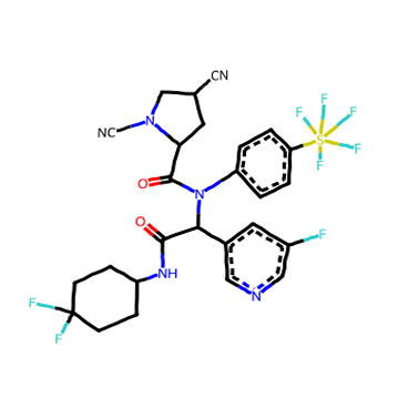 N#CC1CC(C(=O)N(c2ccc(S(F)(F)(F)(F)F)cc2)C(C(=O)NC2CCC(F)(F)CC2)c2cncc(F)c2)N(C#N)C1